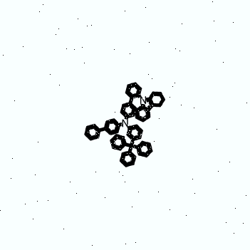 C1=Cc2c(c3ccccc3n2-c2ccccc2-c2ccc(N(c3ccc(-c4ccccc4)cc3)c3cccc(C(c4ccccc4)(c4ccccc4)c4ccccc4)c3)cc2)CC1